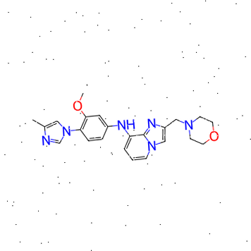 COc1cc(Nc2cccn3cc(CN4CCOCC4)nc23)ccc1-n1cnc(C)c1